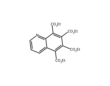 CCOC(=O)c1c(C(=O)OCC)c(C(=O)OCC)c2ncccc2c1C(=O)OCC